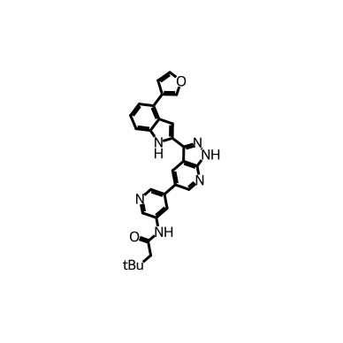 CC(C)(C)CC(=O)Nc1cncc(-c2cnc3[nH]nc(-c4cc5c(-c6ccoc6)cccc5[nH]4)c3c2)c1